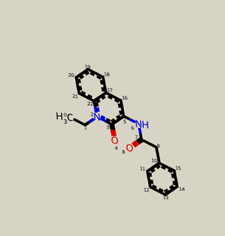 CCn1c(=O)c(NC(=O)Cc2ccccc2)cc2ccccc21